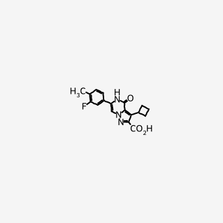 Cc1ccc(-c2cn3nc(C(=O)O)c(C4CCC4)c3c(=O)[nH]2)cc1F